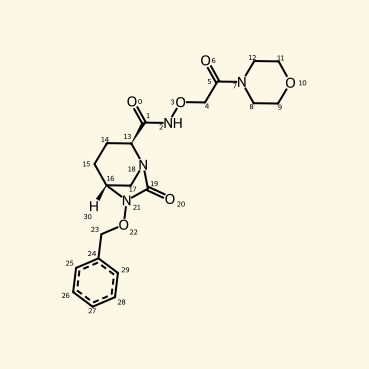 O=C(NOCC(=O)N1CCOCC1)[C@@H]1CC[C@@H]2CN1C(=O)N2OCc1ccccc1